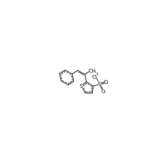 CC(=Cc1ccccc1)c1sccc1S(=O)(=O)Cl